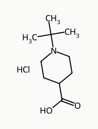 CC(C)(C)N1CCC(C(=O)O)CC1.Cl